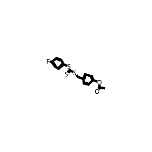 CC(=O)Oc1ccc(CSC(=S)Sc2ccc(F)cc2)cc1